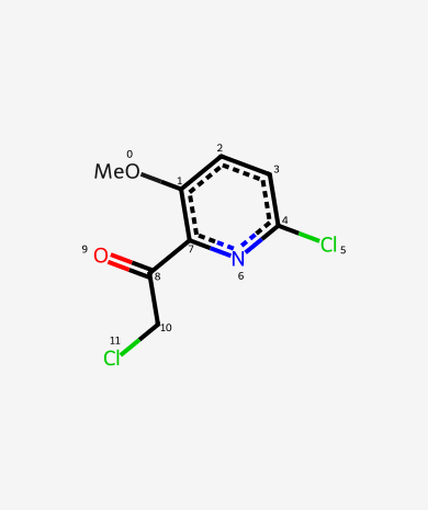 COc1ccc(Cl)nc1C(=O)CCl